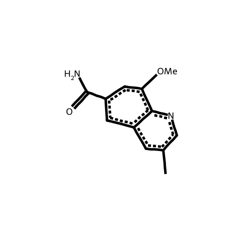 COc1cc(C(N)=O)cc2cc(C)cnc12